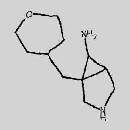 NC1C2CNCC12CC1CCOCC1